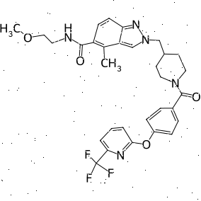 COCCNC(=O)c1ccc2nn(CC3CCN(C(=O)c4ccc(Oc5cccc(C(F)(F)F)n5)cc4)CC3)cc2c1C